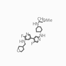 COC[C@H](C)N[C@H]1CC[C@H](Nc2cc(-c3cnc(F)c(NCC4CCOCC4)c3)c(F)cn2)CC1